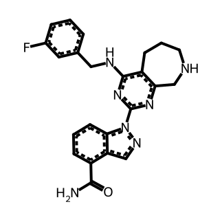 NC(=O)c1cccc2c1cnn2-c1nc2c(c(NCc3cccc(F)c3)n1)CCCNC2